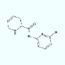 O=C(Nc1cccc(Br)n1)C1CC=CCN1